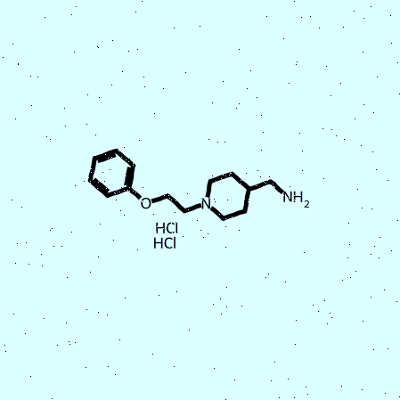 Cl.Cl.NCC1CCN(CCOc2ccccc2)CC1